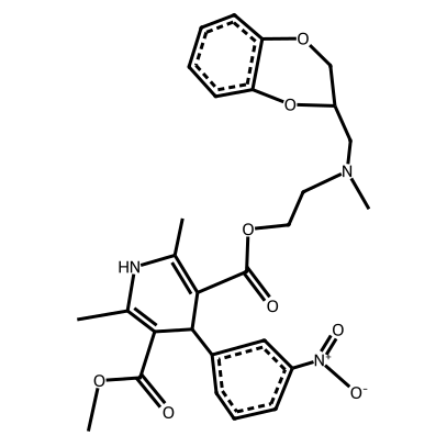 COC(=O)C1=C(C)NC(C)=C(C(=O)OCCN(C)CC2COc3ccccc3O2)C1c1cccc([N+](=O)[O-])c1